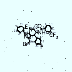 CCN1C(=O)C(NC(=O)c2cccc(C(F)(F)F)c2)C(c2ccc(F)cc2)c2c(CBr)nn(-c3ccccc3)c21